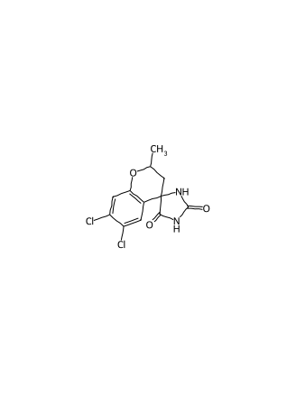 CC1CC2(NC(=O)NC2=O)c2cc(Cl)c(Cl)cc2O1